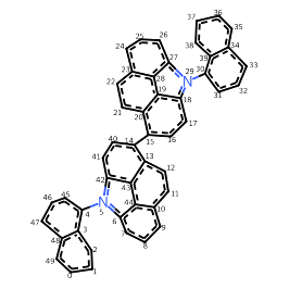 c1ccc2c(-n3c4cccc5ccc6c(-c7ccc8c9c7ccc7cccc(c79)n8-c7cccc8ccccc78)ccc3c6c54)cccc2c1